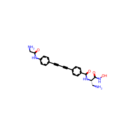 NCC(=O)Nc1ccc(C#CC#Cc2ccc(C(=O)N[C@@H](CN)C(=O)NO)cc2)cc1